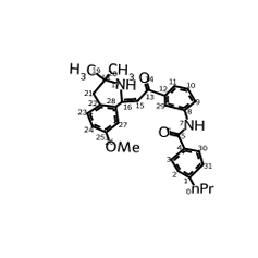 CCCc1ccc(C(=O)Nc2cccc(C(=O)C=C3NC(C)(C)Cc4ccc(OC)cc43)c2)cc1